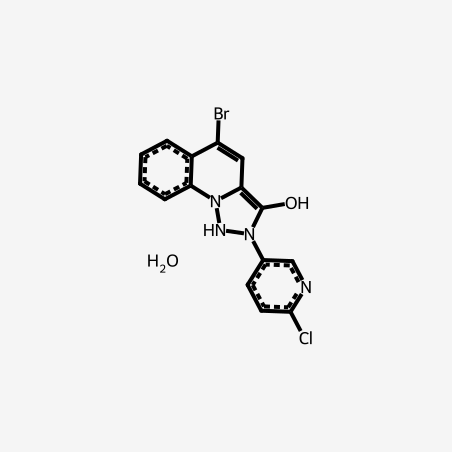 O.OC1=C2C=C(Br)c3ccccc3N2NN1c1ccc(Cl)nc1